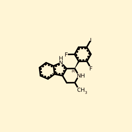 CC1Cc2c([nH]c3ccccc23)[C@@H](c2c(F)cc(I)cc2F)N1